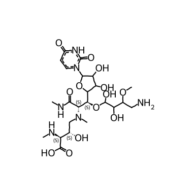 CNC(=O)[C@H]([C@H](OC(O)C(O)C(CN)OC)C1OC(n2ccc(=O)[nH]c2=O)C(O)C1O)N(C)C[C@H](O)[C@H](NC)C(=O)O